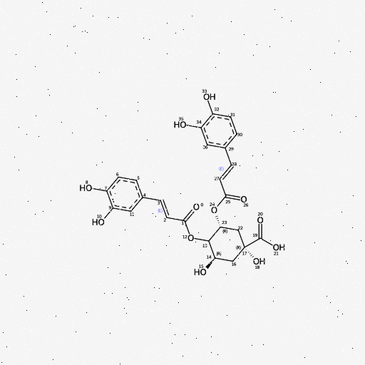 O=C(/C=C/c1ccc(O)c(O)c1)OC1[C@H](O)C[C@](O)(C(=O)O)C[C@H]1OC(=O)/C=C/c1ccc(O)c(O)c1